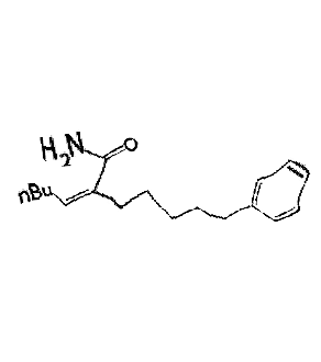 CCCC/C=C(/CCCCCc1ccccc1)C(N)=O